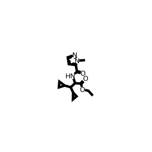 CCOC(=O)C(NC(=O)c1ccnn1C)C(C1CC1)C1CC1